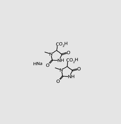 CN1C(=O)NC(=O)C1C(=O)O.CN1C(=O)NC(=O)C1C(=O)O.[NaH]